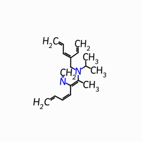 C=C/C=C\C(N=C)=C(/C)N(C/C(C=C)=C/C=C)C(C)C